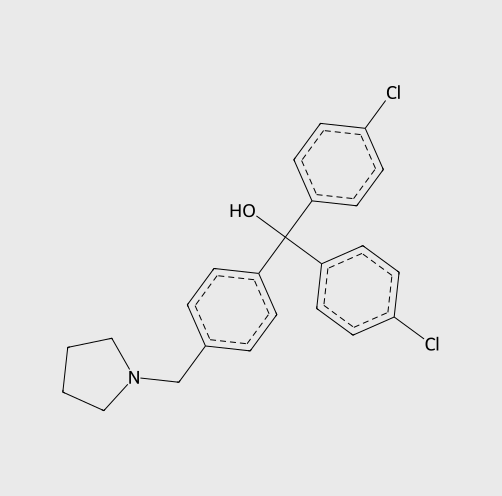 OC(c1ccc(Cl)cc1)(c1ccc(Cl)cc1)c1ccc(CN2CCCC2)cc1